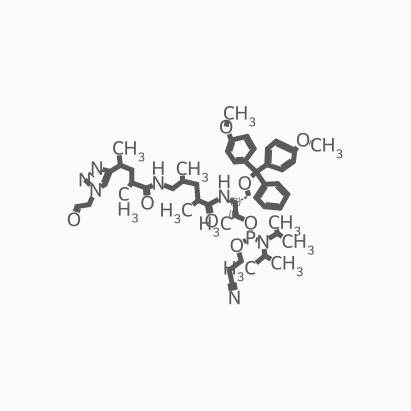 COc1ccc(C(OC[C@@H](NC(=O)C(C)CC(C)CNC(=O)C(C)CC(C)c2cn(CC=O)nn2)[C@@H](C)OP(OCCC#N)N(C(C)C)C(C)C)(c2ccccc2)c2ccc(OC)cc2)cc1